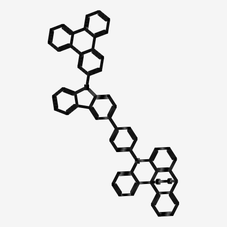 c1ccc2c(c1)C1CCC23c2ccccc2N(c2ccc(-c4ccc5c(c4)c4ccccc4n5-c4ccc5c6ccccc6c6ccccc6c5c4)cc2)c2cccc1c23